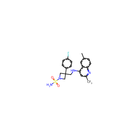 Cc1ccc2nc(C(F)(F)F)cc(NCC3(c4ccc(F)cc4)CN(S(N)(=O)=O)C3)c2c1